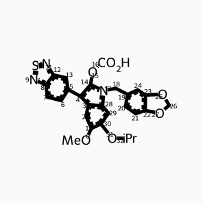 COc1cc2c(-c3ccc4nsnc4c3)c(OC(=O)O)n(Cc3ccc4c(c3)OCO4)c2cc1OC(C)C